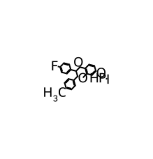 Cc1ccc(C2Oc3cc(OPI)ccc3C(=O)C2c2ccc(F)cc2)cc1